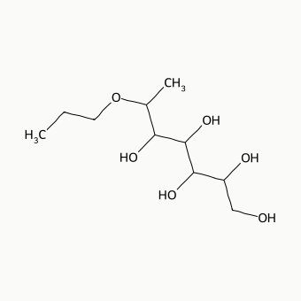 CCCOC(C)C(O)C(O)C(O)C(O)CO